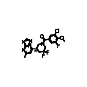 COc1c(F)cc(C(=O)N2C[C@@H](c3cc(C)nc4ncnn34)CC(F)(F)C2)cc1Cl